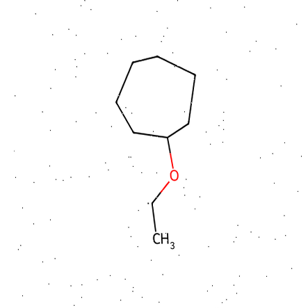 C[CH]OC1CCCCCC1